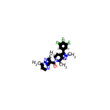 Cc1nn2c(C)ccnc2c1C(=O)N1CCc2c(nn(C)c2-c2cc(F)c(F)c(F)c2)[C@@H]1C